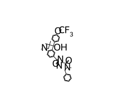 CN1CC(C)([C@@](O)(c2ccc(OC(F)(F)F)cc2)c2cccc(-c3nc(C(=O)N(C)Cc4ccccc4)no3)c2)C1